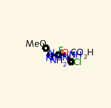 CO[C@H]1CC[C@H](c2cnc(N)c(-c3ccc(C(=O)N[C@H](CNC(=O)O)c4cccc(Cl)c4)c(F)c3)n2)CC1